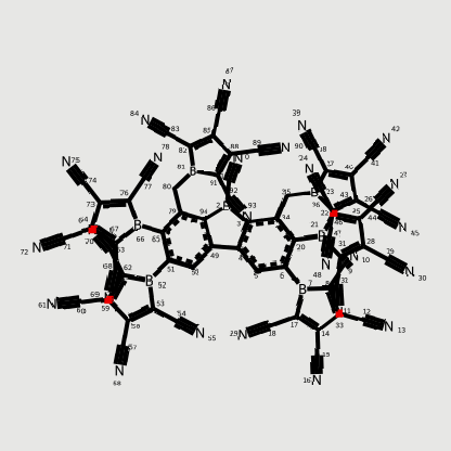 N#CB1c2c(cc(B3C(C#N)=C(C#N)C(C#N)=C3C#N)c(B3C(C#N)=C(C#N)C(C#N)=C3C#N)c2CB2C(C#N)=C(C#N)C(C#N)=C2C#N)-c2cc(B3C(C#N)=C(C#N)C(C#N)=C3C#N)c(B3C(C#N)=C(C#N)C(C#N)=C3C#N)c(CB3C(C#N)=C(C#N)C(C#N)=C3C#N)c21